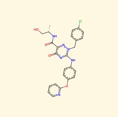 C[C@@H](CO)NC(=O)c1nn(Cc2ccc(Cl)cc2)c(Nc2ccc(Oc3ccccn3)cc2)nc1=O